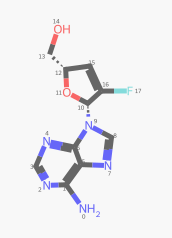 Nc1ncnc2c1ncn2[C@@H]1O[C@H](CO)C=C1F